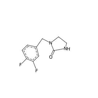 O=C1NCCN1Cc1ccc(F)c(F)c1